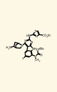 CCOC(=O)c1csc(Nc2nc(N3CC4CC3CC4N)c3c(n2)[nH]c2c(N(C)C(=O)OC(C)(C)C)cc(F)cc23)n1